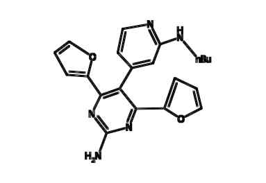 CCCCNc1cc(-c2c(-c3ccco3)nc(N)nc2-c2ccco2)ccn1